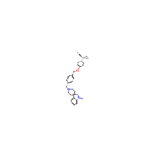 CC#C[C@@H](CC)c1ccc(OCc2ccc(CN3CCC4(CC3)CN(C)c3ccccc34)cc2)cc1